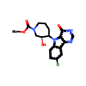 CC(C)(C)OC(=O)N1CCCC(n2c3ccc(Cl)cc3c3nc[nH]c(=O)c32)[C@H](O)C1